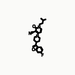 CC(C)CCn1ccc(N2CCC(c3coc4cc(F)ccc34)CC2)c(C#N)c1=O